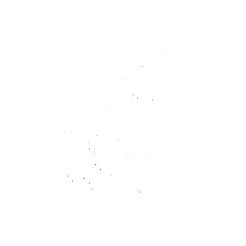 O=CC1CCN(c2ccc(N3C(O)=CN=NN3c3ccccc3)cc2)CC1